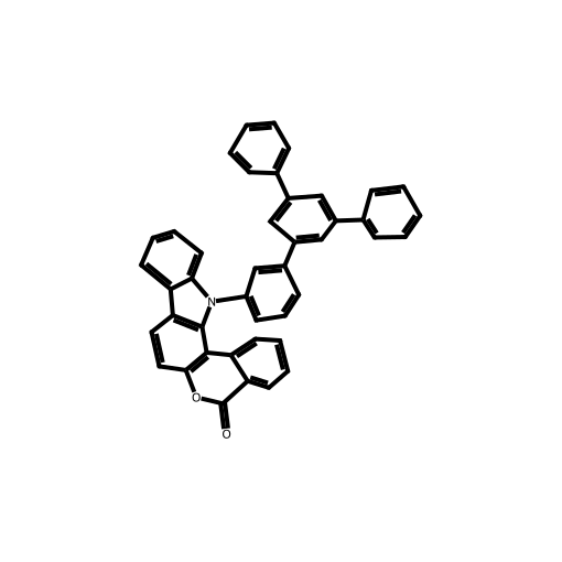 O=c1oc2ccc3c4ccccc4n(-c4cccc(-c5cc(-c6ccccc6)cc(-c6ccccc6)c5)c4)c3c2c2ccccc12